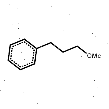 COCCCc1ccccc1